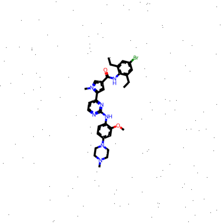 CCc1cc(Br)cc(CC)c1NC(=O)c1cc(-c2ccnc(Nc3ccc(N4CCN(C)CC4)cc3OC)n2)n(C)c1